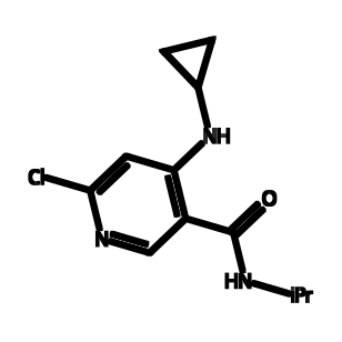 CC(C)NC(=O)c1cnc(Cl)cc1NC1CC1